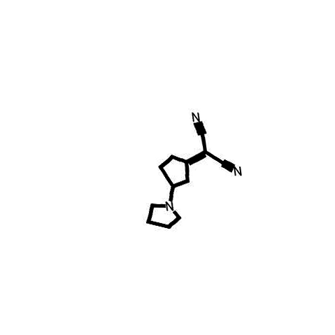 N#CC(C#N)=C1CCC(N2CCCC2)C1